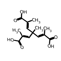 C/C(=C\C(C)(/C=C(\C)C(=O)O)/C=C(\C)C(=O)O)C(=O)O